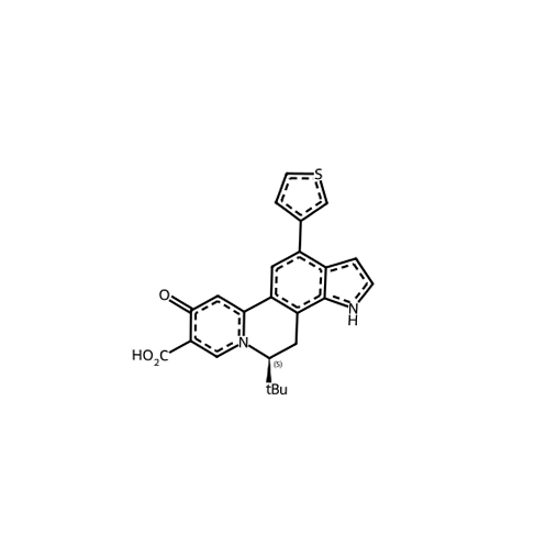 CC(C)(C)[C@@H]1Cc2c(cc(-c3ccsc3)c3cc[nH]c23)-c2cc(=O)c(C(=O)O)cn21